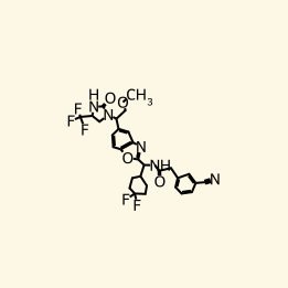 COCC(c1ccc2oc(C(NC(=O)Cc3cccc(C#N)c3)C3CCC(F)(F)CC3)nc2c1)N1CC(C(F)(F)F)NC1=O